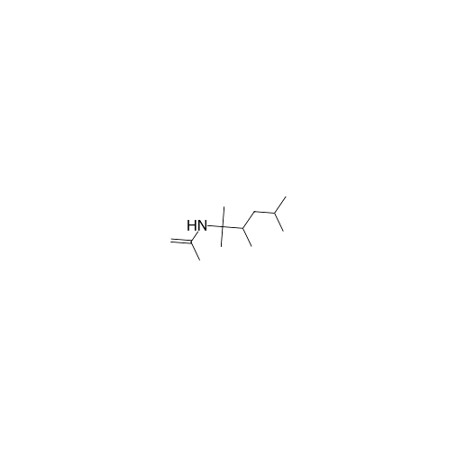 C=C(C)NC(C)(C)C(C)CC(C)C